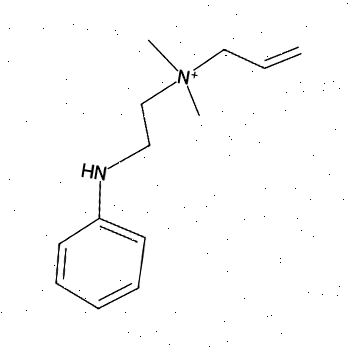 C=CC[N+](C)(C)CCNc1ccccc1